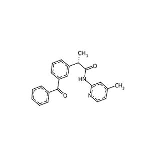 Cc1ccnc(NC(=O)[C@@H](C)c2cccc(C(=O)c3ccccc3)c2)c1